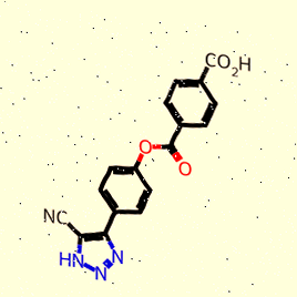 N#Cc1[nH]nnc1-c1ccc(OC(=O)c2ccc(C(=O)O)cc2)cc1